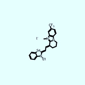 CCN1C(=CC=C2CCCn3c2[n+](C)c2cc(C(F)(F)F)ccc23)[Se]c2ccccc21.[I-]